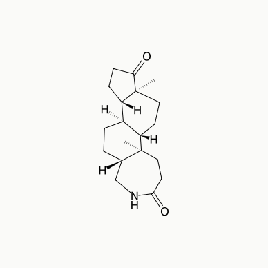 C[C@]12CCC(=O)NC[C@@H]1CC[C@@H]1[C@@H]2CC[C@]2(C)C(=O)CC[C@@H]12